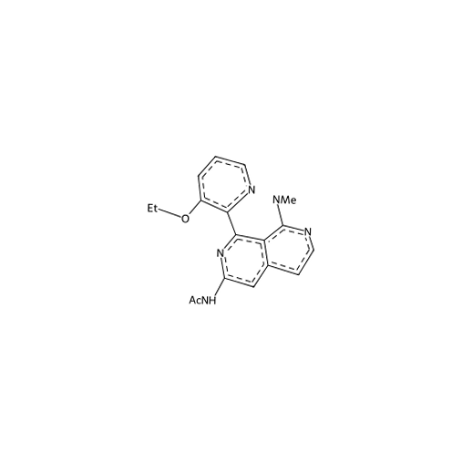 CCOc1cccnc1-c1nc(NC(C)=O)cc2ccnc(NC)c12